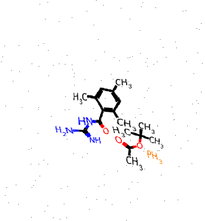 CC(=O)OC(C)(C)C.Cc1cc(C)c(C(=O)NC(=N)N)c(C)c1.P